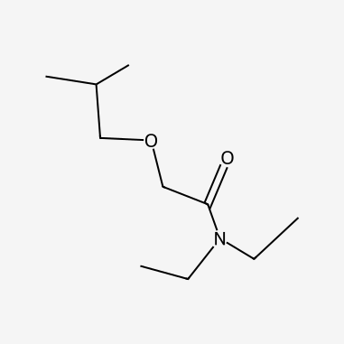 CCN(CC)C(=O)COCC(C)C